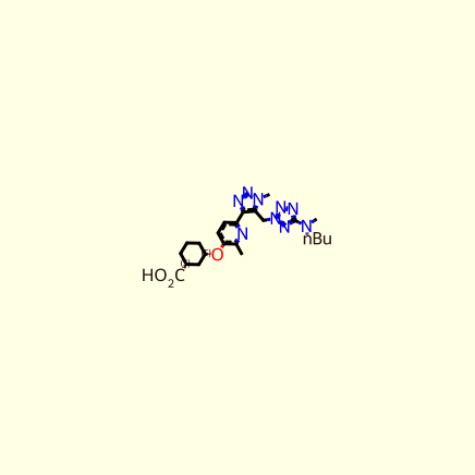 CCCCN(C)c1nnn(Cc2c(-c3ccc(O[C@H]4CCC[C@H](C(=O)O)C4)c(C)n3)nnn2C)n1